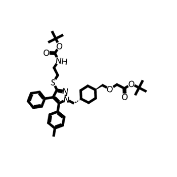 Cc1ccc(-c2c(-c3ccccc3)c(SCCNC(=O)OC(C)(C)C)nn2C[C@H]2CC[C@H](COCC(=O)OC(C)(C)C)CC2)cc1